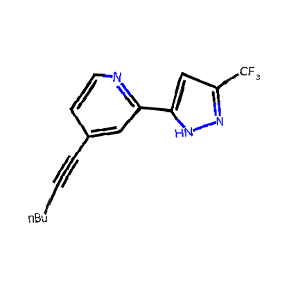 CCCCC#Cc1ccnc(-c2cc(C(F)(F)F)n[nH]2)c1